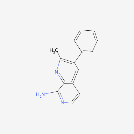 Cc1nc2c(N)nccc2cc1-c1ccccc1